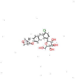 OC[C@H]1OC(c2ccc(Cl)c(Cc3ccc(OC4C5COC[C@H]54)cc3)c2)[C@H](O)[C@@H](O)[C@@H]1O